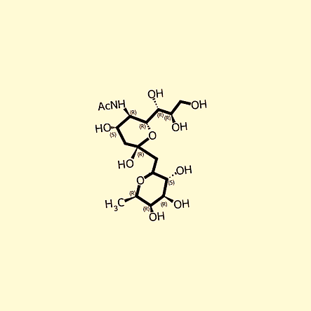 CC(=O)N[C@H]1[C@H]([C@H](O)[C@H](O)CO)O[C@](O)(C[C]2O[C@H](C)[C@H](O)[C@H](O)[C@H]2O)C[C@@H]1O